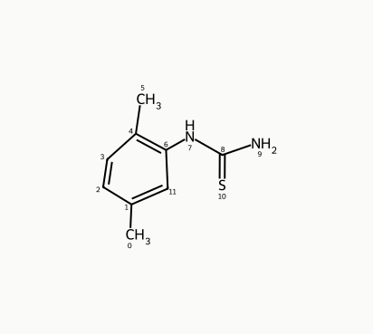 Cc1ccc(C)c(NC(N)=S)c1